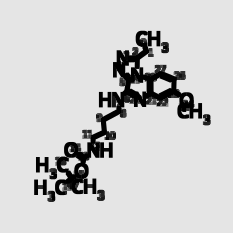 CCc1nnc2c(NCCCCNC(=O)OC(C)(C)C)nc3cc(OC)ccc3n12